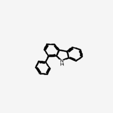 [c]1ccc(-c2cccc3c2[nH]c2ccccc23)cc1